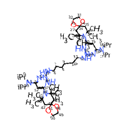 CC(C)N(C1=NN(NCCCCCCNN2N=C(N(C(C)C)C(C)C)C=C(N3C(C)(C)CC4(CC3(C)C)OCCO4)N2)NC(N2C(C)(C)CC3(CC2(C)C)OCCO3)=C1)C(C)C